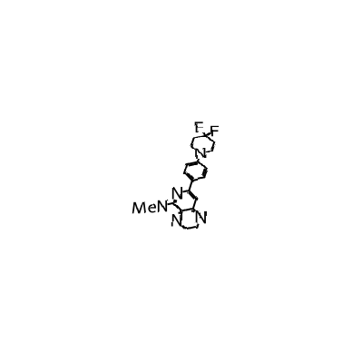 CNc1nc(-c2ccc(N3CCC(F)(F)CC3)cc2)cc2c1=NCCN=2